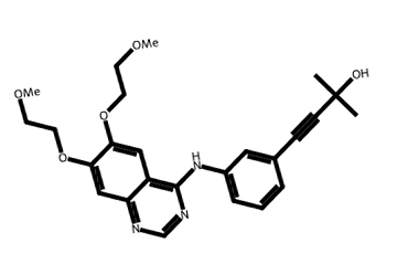 COCCOc1cc2ncnc(Nc3cccc(C#CC(C)(C)O)c3)c2cc1OCCOC